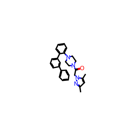 Cc1cc(C)n(CC(=O)N2CCN(c3ccccc3-c3cccc(-c4ccccc4)c3)CC2)n1